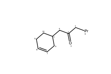 CC(C)CC(=O)CC1CC=CCC1